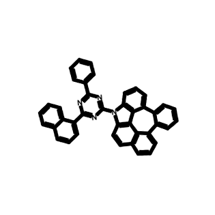 c1ccc(-c2nc(-c3cccc4ccccc34)nc(-n3c4cccc5c4c4c6c(cccc6ccc43)-c3ccccc3-5)n2)cc1